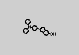 Oc1ccc2cc(-c3ccc(N(c4ccccc4)c4ccccc4)cc3)ccc2c1